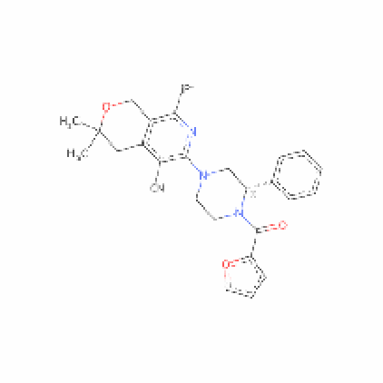 CC(C)c1nc(N2CCN(C(=O)c3ccco3)[C@@H](c3ccccc3)C2)c(C#N)c2c1COC(C)(C)C2